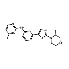 Cc1ccnc(Nc2cccc(-c3cnc(N4CCNC[C@@H]4C)o3)c2)n1